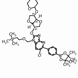 CC1(C)OB(c2ccc(-c3nc4nc(O[C@@H]5CO[C@H]6[C@@H]5OC[C@H]6OC5CCCCO5)n(COCC[Si](C)(C)C)c4cc3Cl)cc2)OC1(C)C